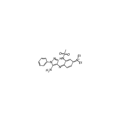 CC[N+](CC)=C1C=C/C(=N/c2cnn(-c3ccccc3)c2N)C(NS(C)(=O)=O)=C1